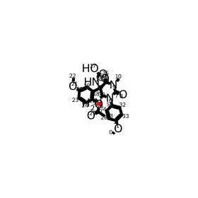 COc1ccc(N2C(=O)N(C)C(=O)C(NC(=O)O)(c3cc(OC)ccc3OC(C)=O)C2N)cc1